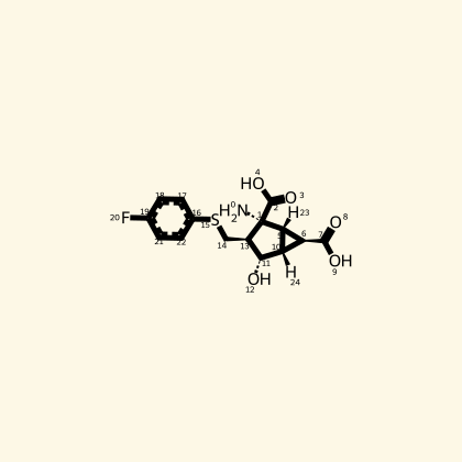 N[C@]1(C(=O)O)[C@@H]2[C@@H](C(=O)O)[C@@H]2[C@H](O)[C@H]1CSc1ccc(F)cc1